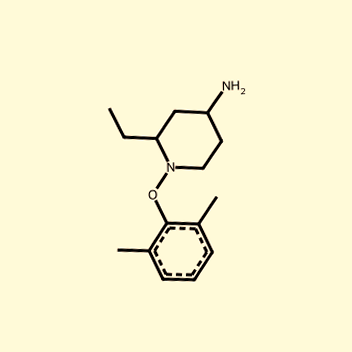 CCC1CC(N)CCN1Oc1c(C)cccc1C